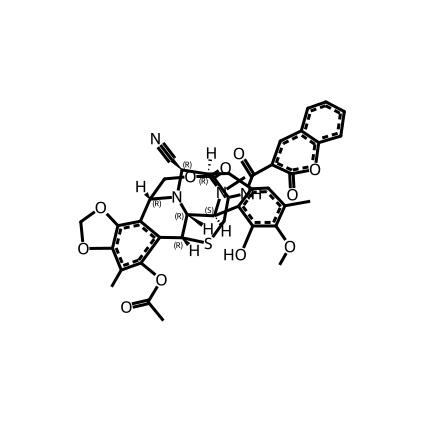 COc1c(C)cc2c(c1O)[C@H]1[C@@H]3[C@@H]4SCC(NC(=O)c5cc6ccccc6oc5=O)C(=O)OC[C@@H](c5c6c(c(C)c(OC(C)=O)c54)OCO6)N3[C@@H](C#N)[C@@H](C2)N1C